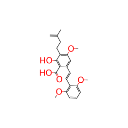 C=C(C)CCc1c(OC)cc(C=Cc2c(OC)cccc2OC)c(C(=O)O)c1O